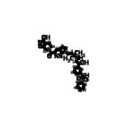 CC(C)(CCn1ccc2cc(C(=O)N3CCc4c(O)noc4C3)nnc21)NC[C@H](O)c1cccc(NS(=O)(=O)c2ccccc2)c1